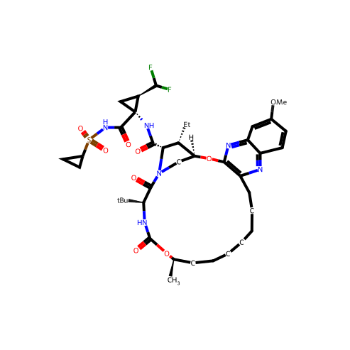 CC[C@@H]1[C@@H]2CN(C(=O)[C@H](C(C)(C)C)NC(=O)O[C@H](C)CCCCCCCc3nc4ccc(OC)cc4nc3O2)[C@@H]1C(=O)N[C@]1(C(=O)NS(=O)(=O)C2CC2)C[C@H]1C(F)F